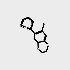 BrC1=C(c2ccccc2)CC2OCCOC2=C1